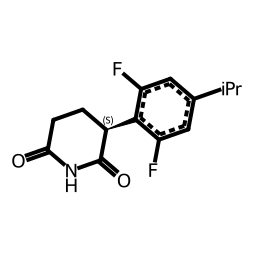 CC(C)c1cc(F)c([C@@H]2CCC(=O)NC2=O)c(F)c1